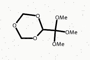 COC(OC)(OC)C1OCOCO1